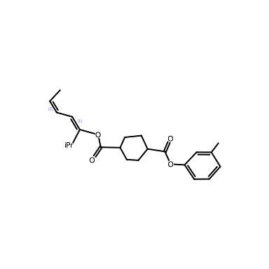 C/C=C\C=C(\OC(=O)C1CCC(C(=O)Oc2cccc(C)c2)CC1)C(C)C